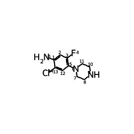 Nc1cc(F)c(N2CCNCC2)cc1Cl